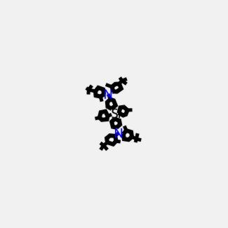 Cc1ccc([Si](c2ccc(C)cc2)(c2ccc(N(c3ccc(C(C)(C)C)cc3C)c3ccc(C(C)(C)C)cc3C)cc2)c2ccc(N(c3ccc(C(C)(C)C)cc3C)c3ccc(C(C)(C)C)cc3C)cc2)cc1